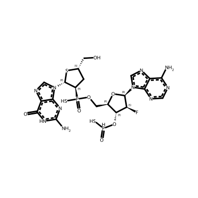 Nc1nc2c(ncn2[C@@H]2S[C@H](CO)C[C@H]2P(=O)(S)OC[C@H]2O[C@@H](n3cnc4c(N)ncnc43)[C@@H](F)[C@@H]2O[PH](=O)S)c(=O)[nH]1